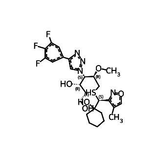 CO[C@H]1C[SH]([C@@H](c2nocc2C)C2(O)CCCCC2)[C@H](CO)[C@H](O)[C@@H]1n1cc(-c2cc(F)c(F)c(F)c2)nn1